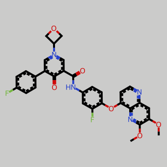 COc1cc2nccc(Oc3ccc(NC(=O)c4cn(C5COC5)cc(-c5ccc(F)cc5)c4=O)cc3F)c2nc1OC